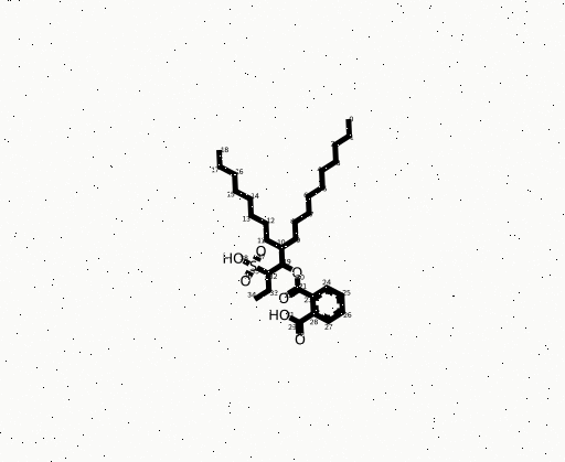 CCCCCCCCCCC(CCCCCCCC)C(OC(=O)c1ccccc1C(=O)O)C(CC)S(=O)(=O)O